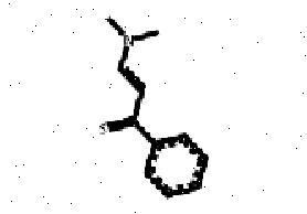 CN(C)/C=C/C(=S)c1ccccc1